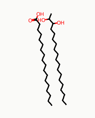 CCCCCCCCCCCCCCCCC(O)C(C)O.CCCCCCCCCCCCCCCCCC(=O)O